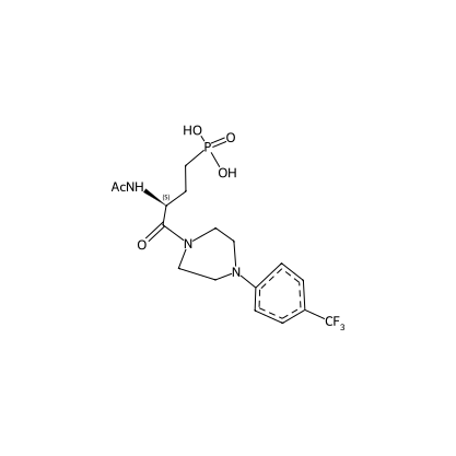 CC(=O)N[C@@H](CCP(=O)(O)O)C(=O)N1CCN(c2ccc(C(F)(F)F)cc2)CC1